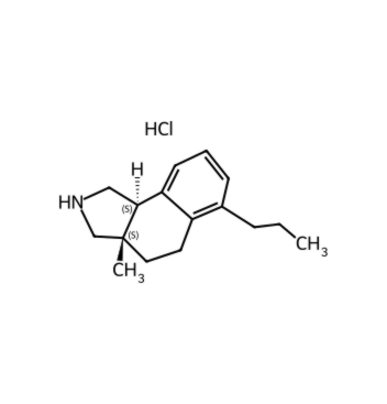 CCCc1cccc2c1CC[C@]1(C)CNC[C@@H]21.Cl